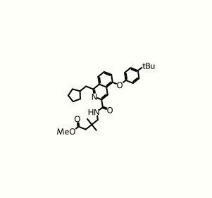 COC(=O)CC(C)(C)CNC(=O)c1cc2c(Oc3ccc(C(C)(C)C)cc3)cccc2c(CC2CCCC2)n1